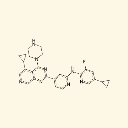 Fc1cc(C2CC2)cnc1Nc1cc(-c2nc(N3CCNCC3)c3c(C4CC4)cncc3n2)ccn1